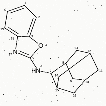 c1ccc2oc(NC3C4CC5CC(C4)CC3C5)nc2c1